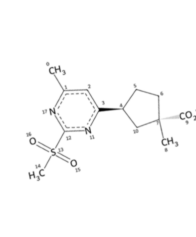 Cc1cc([C@H]2CC[C@](C)(C(=O)O)C2)nc(S(C)(=O)=O)n1